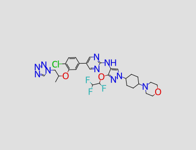 CC(Cn1cnnn1)Oc1cc(-c2cnc(Nc3cn(C4CCC(N5CCOCC5)CC4)nc3OC(F)C(F)F)nc2)ccc1Cl